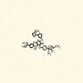 CCOC(=O)C(C)(C)N1CCC(Oc2c(F)c(Oc3cccc(-c4nccn4C)c3)nc(Oc3cc(C(=N)N)ccc3O)c2F)CC1